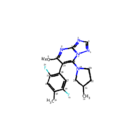 COc1nc2ncnn2c(N2CCC(C)C2)c1-c1cc(F)c(C)cc1F